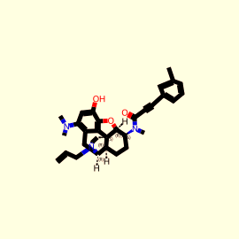 C=CCN1CC[C@]23c4c5c(N(C)C)cc(O)c4O[C@H]2[C@@H](N(C)C(=O)C#Cc2cccc(C)c2)CC[C@H]3[C@H]1C5